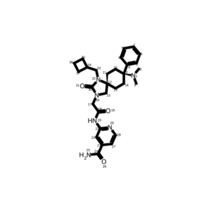 CN(C)[C@]1(c2ccccc2)CC[C@@]2(CC1)CN(CC(=O)Nc1cc(C(N)=O)ccn1)C(=O)N2CC1CCC1